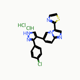 Cl.Cl.Clc1ccc(-c2n[nH]cc2-c2ccc3ncc(-c4nccs4)n3c2)cc1